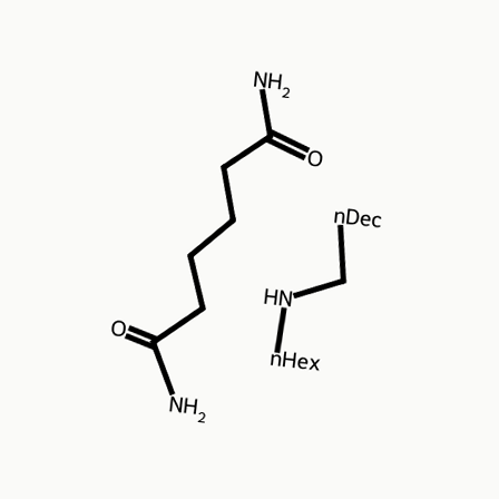 CCCCCCCCCCCNCCCCCC.NC(=O)CCCCC(N)=O